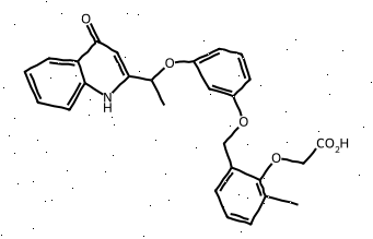 Cc1cccc(COc2cccc(OC(C)c3cc(=O)c4ccccc4[nH]3)c2)c1OCC(=O)O